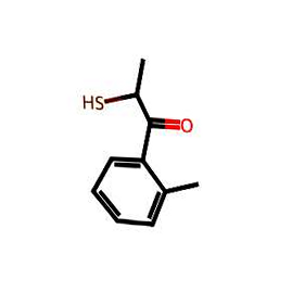 Cc1ccccc1C(=O)C(C)S